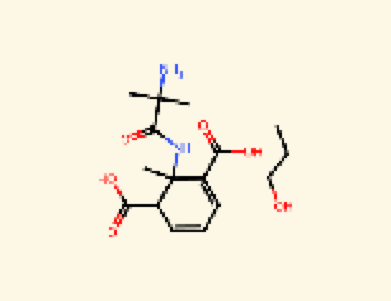 CC(C)(N)C(=O)NC1(C)C(C(=O)O)=CC=CC1C(=O)O.CCCO